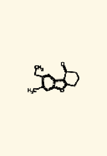 CCc1cc2c3c(oc2cc1C)CCCC3=O